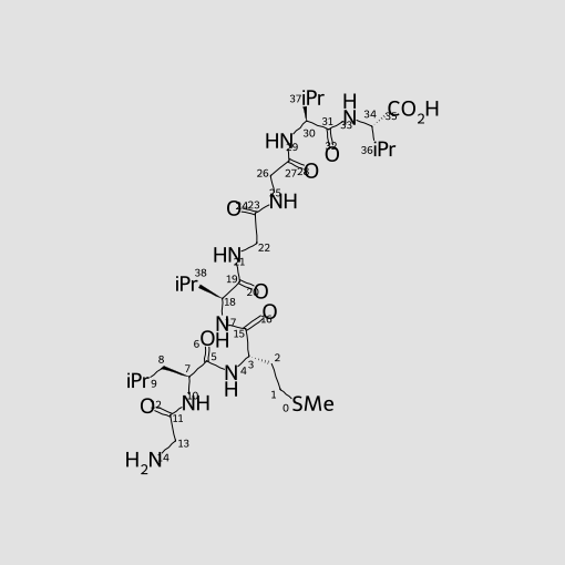 CSCC[C@H](NC(=O)[C@H](CC(C)C)NC(=O)CN)C(=O)N[C@H](C(=O)NCC(=O)NCC(=O)N[C@H](C(=O)N[C@H](C(=O)O)C(C)C)C(C)C)C(C)C